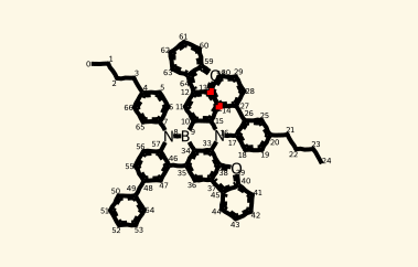 CCCCc1ccc(N2B3c4cc5c(cc4N(c4ccc(CCCC)cc4-c4ccccc4)c4c3c(cc3c4oc4ccccc43)-c3cc(-c4ccccc4)ccc32)oc2ccccc25)cc1